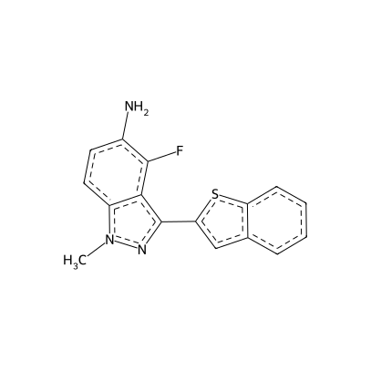 Cn1nc(-c2cc3ccccc3s2)c2c(F)c(N)ccc21